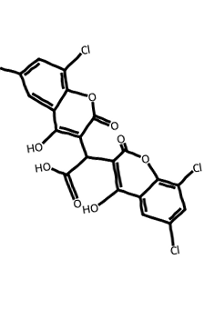 O=C(O)C(c1c(O)c2cc(Cl)cc(Cl)c2oc1=O)c1c(O)c2cc(Cl)cc(Cl)c2oc1=O